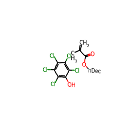 C=C(C)C(=O)OCCCCCCCCCC.Oc1c(Cl)c(Cl)c(Cl)c(Cl)c1Cl